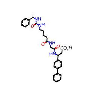 C[C@H](NC(=O)NCCCCC(=O)NCC(=O)NC(CC(=O)O)c1ccc(-c2ccccc2)cc1)c1ccccc1